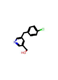 OCc1cncc(Cc2ccc(Cl)cc2)c1